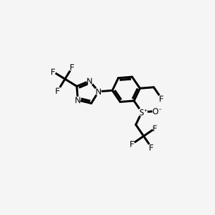 [O-][S+](CC(F)(F)F)c1cc(-n2cnc(C(F)(F)F)n2)ccc1CF